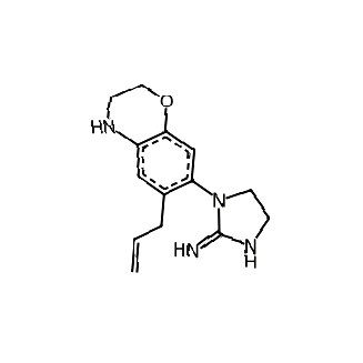 C=CCc1cc2c(cc1N1CCNC1=N)OCCN2